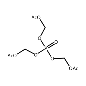 CC(=O)OCOP(=O)(OCOC(C)=O)OCOC(C)=O